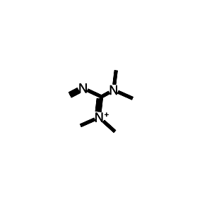 C=NC(N(C)C)=[N+](C)C